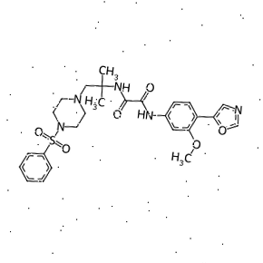 COc1cc(NC(=O)C(=O)NC(C)(C)CN2CCN(S(=O)(=O)c3ccccc3)CC2)ccc1-c1cnco1